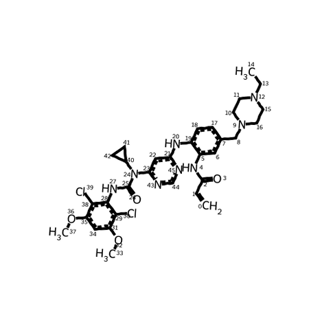 C=CC(=O)Nc1cc(CN2CCN(CC)CC2)ccc1Nc1cc(N(C(=O)Nc2c(Cl)c(OC)cc(OC)c2Cl)C2CC2)ncn1